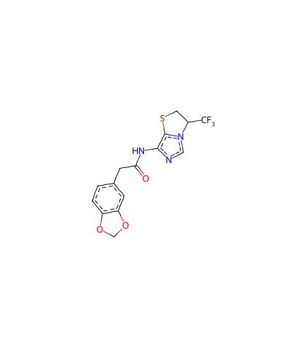 O=C(Cc1ccc2c(c1)OCO2)Nc1ncn2c1SCC2C(F)(F)F